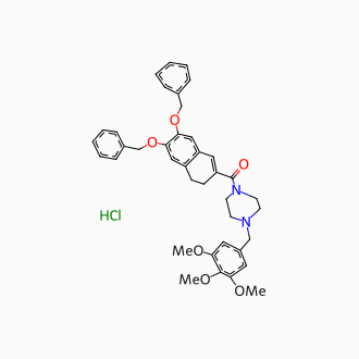 COc1cc(CN2CCN(C(=O)C3=Cc4cc(OCc5ccccc5)c(OCc5ccccc5)cc4CC3)CC2)cc(OC)c1OC.Cl